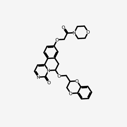 O=C(COc1ccc2c(c1)CC(OCC1COc3ccccc3O1)n1c-2ccnc1=O)N1CCOCC1